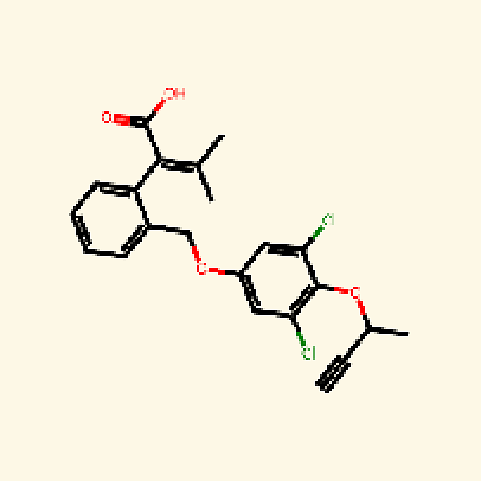 C#CC(C)Oc1c(Cl)cc(OCc2ccccc2C(C(=O)O)=C(C)C)cc1Cl